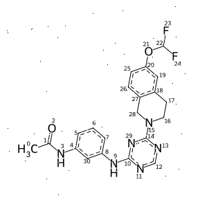 CC(=O)Nc1cccc(Nc2ncnc(N3CCc4cc(OC(F)F)ccc4C3)n2)c1